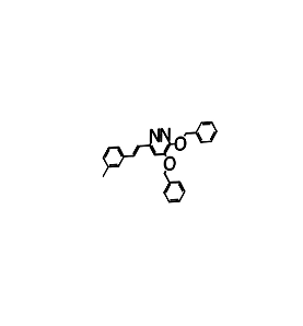 Cc1cccc(/C=C/c2cc(OCc3ccccc3)c(OCc3ccccc3)nn2)c1